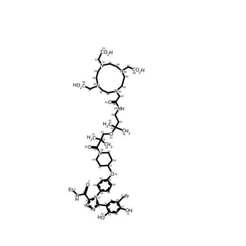 CCNC(=O)c1nnc(-c2cc(C(C)C)c(O)cc2O)n1-c1ccc(OC2CCN(C(=O)C(C)(C)COC(C)(C)CCNC(=O)CN3CCN(CC(=O)O)CCN(CC(=O)O)CCN(CC(=O)O)CC3)CC2)cc1